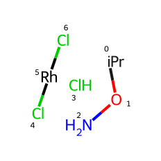 CC(C)ON.Cl.[Cl][Rh][Cl]